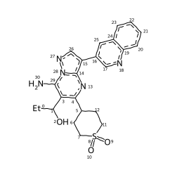 CCC(O)c1c(C2CCS(=O)(=O)CC2)nc2c(-c3cnc4ccccc4c3)cnn2c1N